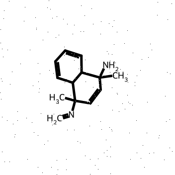 C=NC1(C)C=CC(C)(N)C2C=CC=CC21